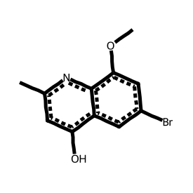 COc1cc(Br)cc2c(O)cc(C)nc12